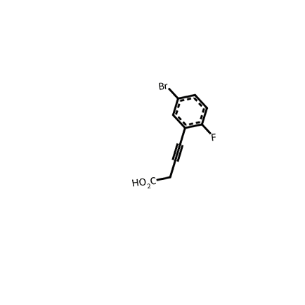 O=C(O)CC#Cc1cc(Br)ccc1F